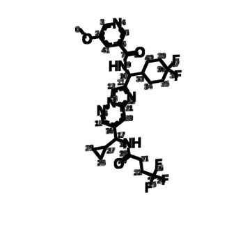 COc1cncc(C(=O)N[C@H](c2cn3ncc(C(NC(=O)CCC(F)(F)F)C4CC4)cc3n2)C2CCC(F)(F)CC2)c1